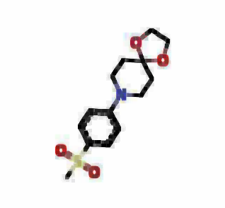 CS(=O)(=O)c1ccc(N2CCC3(CC2)OCCO3)cc1